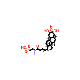 C[C@H](CCC(=O)NCCS(=O)(=O)O)[C@H]1CC[C@H]2[C@@H]3CC[C@@H]4CC(O)(O)C(O)C[C@]4(C)[C@H]3CC[C@]12C